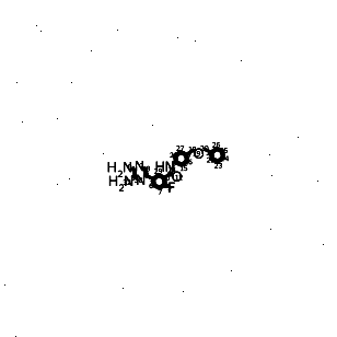 Nc1ncc(-c2ccc(F)c(C(=O)Nc3ccc(COCc4ccccc4)cc3)c2)nc1N